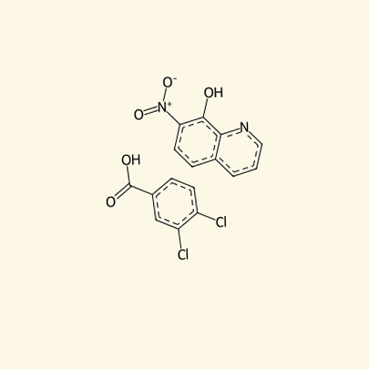 O=C(O)c1ccc(Cl)c(Cl)c1.O=[N+]([O-])c1ccc2cccnc2c1O